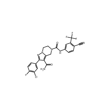 N#Cc1ccc(NC(=O)N2CCn3nc(-c4ccc(F)c(Cl)c4)c(C(N)=O)c3C2)cc1C(F)(F)F